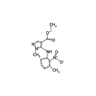 CCOC(=O)c1cnn(C)c1Nc1cccc(C)c1[N+](=O)[O-]